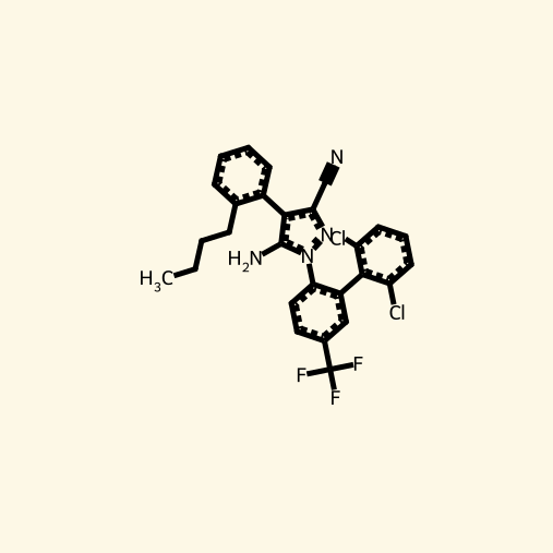 CCCCc1ccccc1-c1c(C#N)nn(-c2ccc(C(F)(F)F)cc2-c2c(Cl)cccc2Cl)c1N